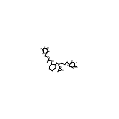 O=C(NC1CCCCC1CN(CCCc1ccc(F)cc1)C1CC1)OCc1ccccc1